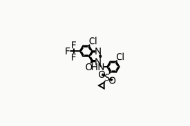 O=c1c2cc(C(F)(F)F)cc(Cl)c2ncn1Nc1cc(Cl)ccc1S(=O)(=O)C1CC1